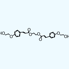 O=C(C=Cc1ccc(OCCO)cc1)OCCOC(=O)C=Cc1ccc(OCCO)cc1